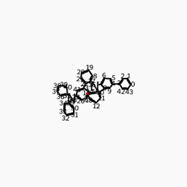 c1ccc(-c2ccc3c(c2)c2ccccc2n3-c2ccccc2-c2cccc(N(c3ccccc3)c3ccccc3)c2)cc1